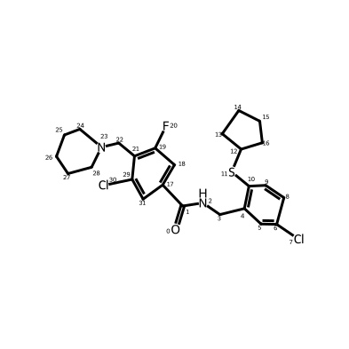 O=C(NCc1cc(Cl)ccc1SC1CCCC1)c1cc(F)c(CN2CCCCC2)c(Cl)c1